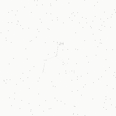 CC(=O)OC(N)=O.[KH]